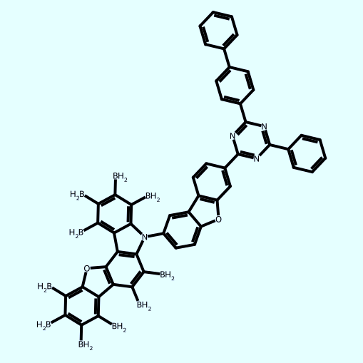 Bc1c(B)c(B)c2c(oc3c2c(B)c(B)c2c3c3c(B)c(B)c(B)c(B)c3n2-c2ccc3oc4cc(-c5nc(-c6ccccc6)nc(-c6ccc(-c7ccccc7)cc6)n5)ccc4c3c2)c1B